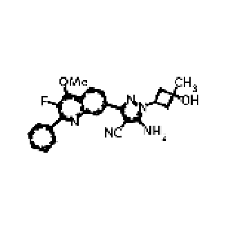 COc1c(F)c(-c2ccccc2)nc2cc(-c3nn(C4CC(C)(O)C4)c(N)c3C#N)ccc12